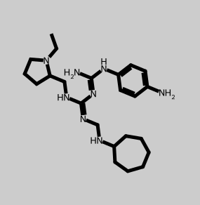 CCN1CCCC1CNC(=N/CNC1CCCCCC1)/N=C(\N)Nc1ccc(N)cc1